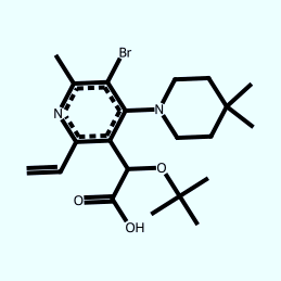 C=Cc1nc(C)c(Br)c(N2CCC(C)(C)CC2)c1C(OC(C)(C)C)C(=O)O